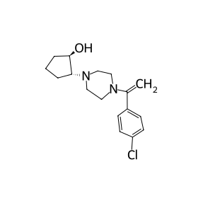 C=C(c1ccc(Cl)cc1)N1CCN([C@@H]2CCC[C@H]2O)CC1